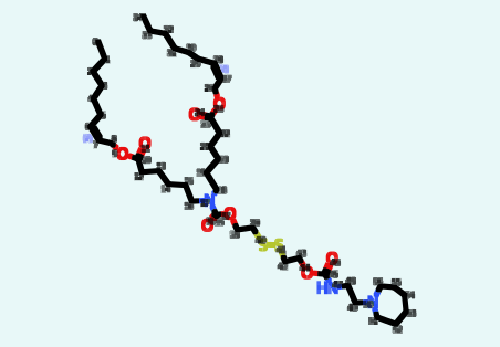 CCCCCC/C=C\COC(=O)CCCCCN(CCCCCC(=O)OC/C=C\CCCCCC)C(=O)OCCSSCCOC(=O)NCCN1CCCCCC1